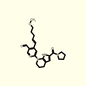 COCCC/C=C/c1cc(N2CCCc3cc(C(=O)N4CCCC4)[nH]c32)ncc1C=O